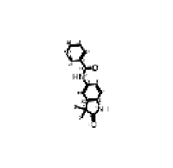 CC1(C)C(=O)Nc2ccc(NC(=O)c3cccnc3)cc21